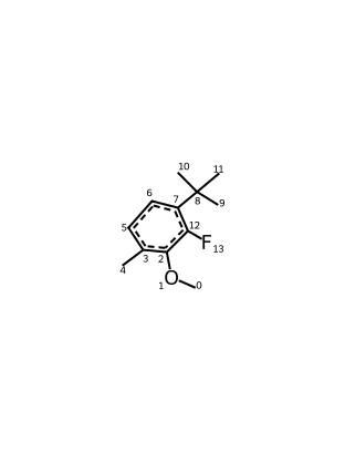 COc1c(C)ccc(C(C)(C)C)c1F